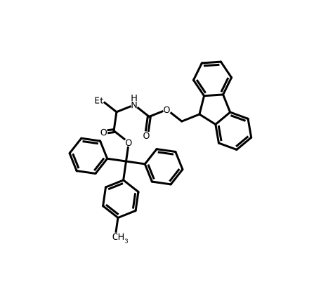 CCC(NC(=O)OCC1c2ccccc2-c2ccccc21)C(=O)OC(c1ccccc1)(c1ccccc1)c1ccc(C)cc1